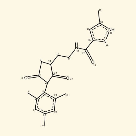 Cc1cc(C)c(C2C(=O)CC(CCNC(=O)c3cc(C)[nH]n3)C2=O)c(C)c1